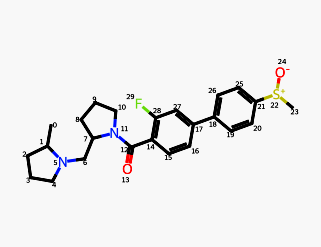 CC1CCCN1CC1CCCN1C(=O)c1ccc(-c2ccc([S+](C)[O-])cc2)cc1F